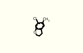 Cc1cc2c(cc1Cl)OCCC2